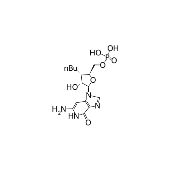 CCCC[C@H]1[C@@H](O)[C@H](n2cnc3c(=O)[nH]c(N)cc32)O[C@@H]1COP(=O)(O)O